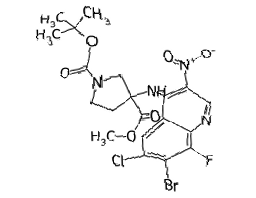 COC(=O)C1(Nc2c([N+](=O)[O-])cnc3c(F)c(Br)c(Cl)cc23)CCN(C(=O)OC(C)(C)C)C1